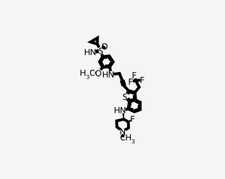 COc1cc(S(=N)(=O)C2CC2)ccc1NCC#Cc1sc2c(N[C@@H]3CCN(C)C[C@@H]3F)cccc2c1CC(F)(F)F